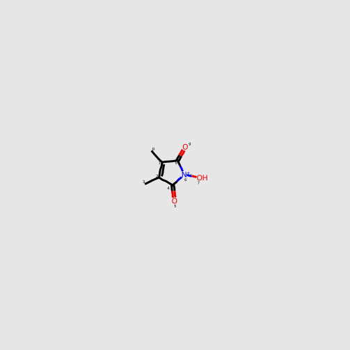 CC1=C(C)C(=O)[N+](O)C1=O